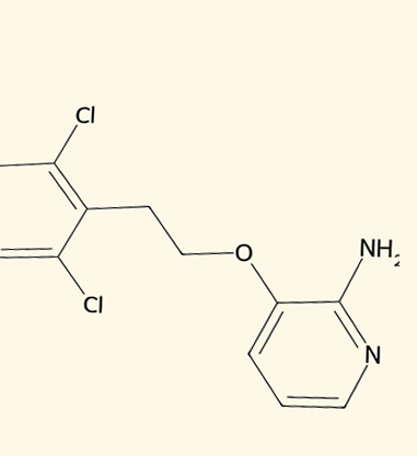 Nc1ncccc1OCCc1c(Cl)ccc(F)c1Cl